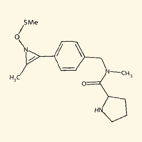 CSON1C(C)=C1c1ccc(CN(C)C(=O)C2CCCN2)cc1